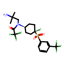 CC(C)(N)CN(C(=O)C(F)(F)F)[C@H]1CC[C@](F)(S(=O)(=O)c2cccc(C(F)(F)F)c2)CC1